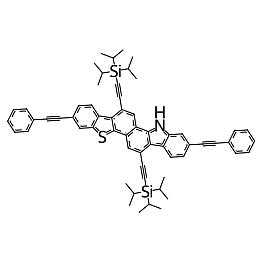 CC(C)[Si](C#Cc1cc2c(cc(C#C[Si](C(C)C)(C(C)C)C(C)C)c3c4ccc(C#Cc5ccccc5)cc4sc23)c2[nH]c3cc(C#Cc4ccccc4)ccc3c12)(C(C)C)C(C)C